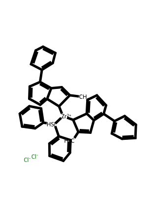 CC1=Cc2c(-c3ccccc3)cccc2[CH]1[Zr+2]([CH]1C(C)=Cc2c(-c3ccccc3)cccc21)[SiH](c1ccccc1)c1ccccc1.[Cl-].[Cl-]